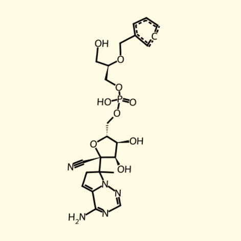 CC1([C@]2(C#N)O[C@H](COP(=O)(O)OC[C@@H](CO)OCc3ccccc3)[C@@H](O)[C@H]2O)CC=C2C(N)=NC=NN21